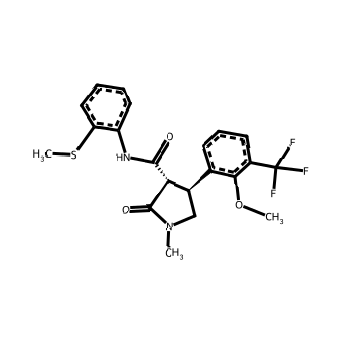 COc1c([C@H]2CN(C)C(=O)[C@@H]2C(=O)Nc2ccccc2SC)cccc1C(F)(F)F